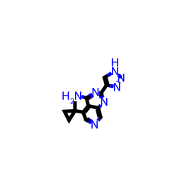 CC1(c2cncc3nc(-c4c[nH]nn4)nc(N)c23)CC1